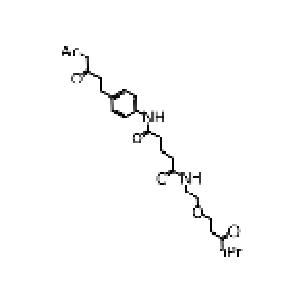 CCCC(=O)CCOCCNC(=O)CCCC(=O)Nc1ccc(CCC(=O)CC(C)=O)cc1